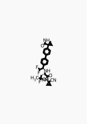 CC(C)(F)C[C@H](N[C@@H](c1ccc(-c2ccc(C3(C(N)=O)CC3)cc2)cc1)C(F)F)C(=O)NC1(C#N)CC1